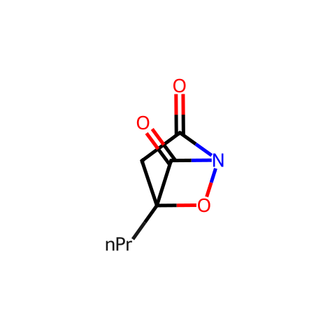 CCCC12CC(=O)N(O1)C2=O